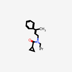 C/C(=C\CN(CC(C)C)C(=O)C1CC1)c1ccccc1